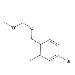 COC(C)OCc1ccc(Br)cc1F